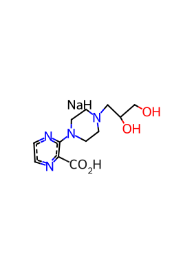 O=C(O)c1nccnc1N1CCN(CC(O)CO)CC1.[NaH]